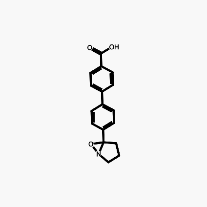 O=C(O)c1ccc(-c2ccc(C34CCCN3O4)cc2)cc1